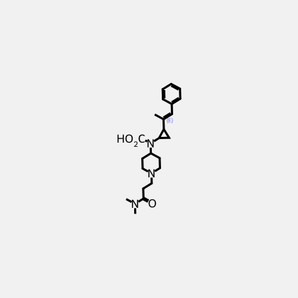 C/C(=C\c1ccccc1)C1CC1N(C(=O)O)C1CCN(CCC(=O)N(C)C)CC1